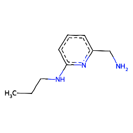 CCCNc1cccc(CN)n1